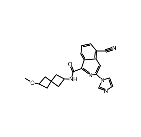 COC1CC2(CC(NC(=O)c3nc(-n4ccnc4)cc4c(C#N)cccc34)C2)C1